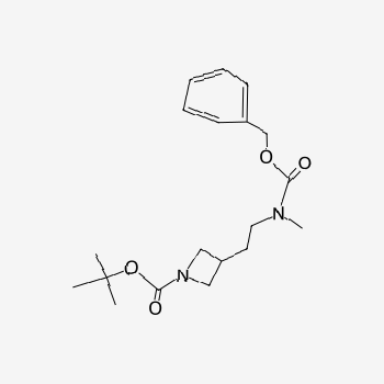 CN(CCC1CN(C(=O)OC(C)(C)C)C1)C(=O)OCc1ccccc1